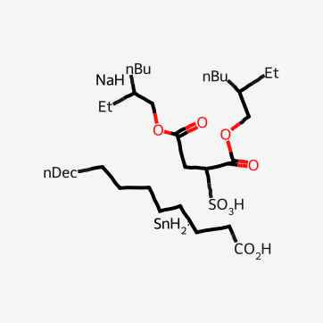 CCCCC(CC)COC(=O)CC(C(=O)OCC(CC)CCCC)S(=O)(=O)O.CCCCCCCCCCCCCCCCCC(=O)O.[NaH].[SnH2]